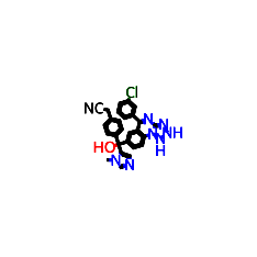 Cn1cncc1C(O)(c1ccc(CC#N)cc1)c1ccc2c(c1)C(c1cccc(Cl)c1)=NC1=NNNN12